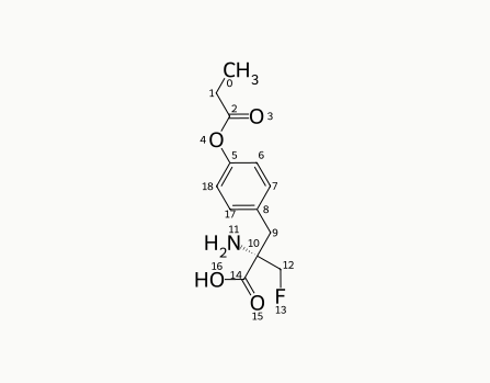 CCC(=O)Oc1ccc(C[C@@](N)(CF)C(=O)O)cc1